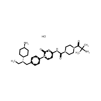 CCN(Cc1ccc(-n2ccc(NC(=O)N3CCN(C(=O)C(C)(C)N)CC3)nc2=O)cc1)[C@H]1CC[C@H](N)CC1.Cl